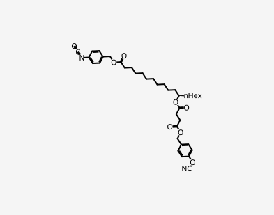 CCCCCC[C@H](CCCCCCCCCCC(=O)OCc1ccc(N=C=O)cc1)OC(=O)CCC(=O)OCc1ccc(OC#N)cc1